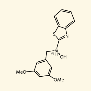 COc1cc(C[Si@H](O)c2nc3ccccc3s2)cc(OC)c1